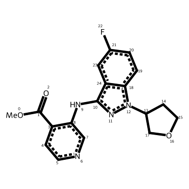 COC(=O)c1ccncc1Nc1nn(C2CCOC2)c2ccc(F)cc12